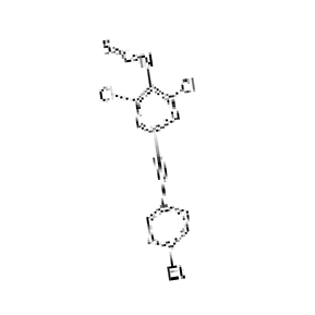 CCc1ccc(C#Cc2cc(Cl)c(N=C=S)c(Cl)c2)cc1